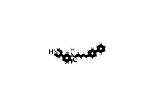 O=C(CCCCc1ccc(-c2ccccc2)cc1)Nc1cc(C2CCNCC2)ccc1F